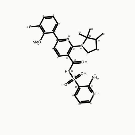 COc1c(F)cccc1-c1ccc(C(=O)NS(=O)(=O)c2cccnc2N)c(N2CCC(C)C2(C)C)n1